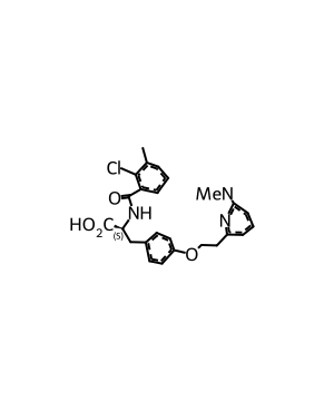 CNc1cccc(CCOc2ccc(C[C@H](NC(=O)c3cccc(C)c3Cl)C(=O)O)cc2)n1